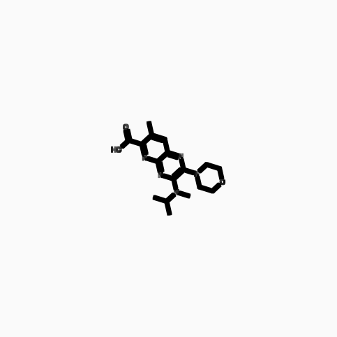 Cc1cc2nc(N3CCOCC3)c(N(C)C(C)C)nc2nc1C(=O)O